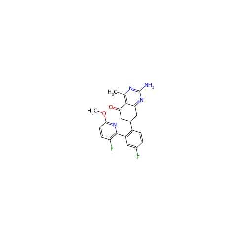 COc1ccc(F)c(-c2cc(F)ccc2C2CC(=O)c3c(C)nc(N)nc3C2)n1